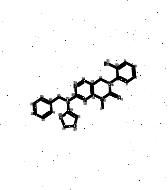 CN1C(=O)N(c2ccccc2Br)Cc2cnc(N(Cc3ccccc3)C3=COCO3)nc21